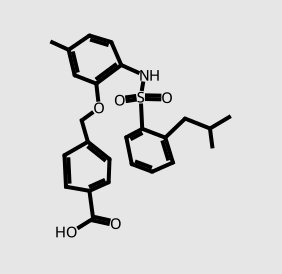 Cc1ccc(NS(=O)(=O)c2ccccc2CC(C)C)c(OCc2ccc(C(=O)O)cc2)c1